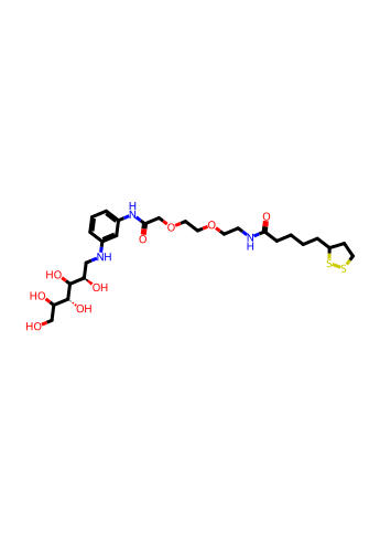 O=C(CCCCC1CCSS1)NCCOCCOCC(=O)Nc1cccc(NC[C@@H](O)C(O)[C@H](O)C(O)CO)c1